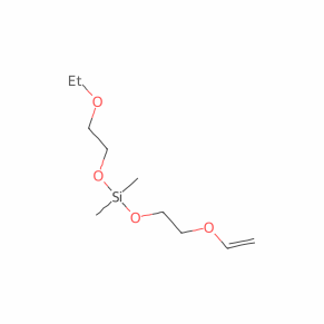 C=COCCO[Si](C)(C)OCCOCC